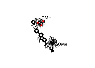 [2H]C([2H])([2H])C([2H])(C([2H])([2H])[2H])[C@@]([2H])(NC(=O)OC)C(=O)N1CC2(CC2)C[C@H]1c1ncc(-c2ccc3c(c2)C(F)(F)c2cc(-c4ccc5nc([C@@H]6[C@H]7CC[C@H](C7)N6C(=O)[C@]([2H])(NC(=O)OC)C([2H])(C([2H])([2H])[2H])C([2H])([2H])[2H])[nH]c5c4)ccc2-3)[nH]1